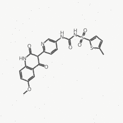 COc1ccc2c(c1)C(=O)C(c1ccc(NC(=O)NS(=O)(=O)c3ccc(C)s3)cn1)C(=O)N2